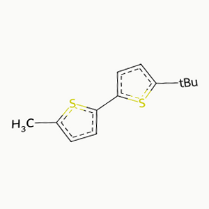 Cc1ccc(-c2ccc(C(C)(C)C)s2)s1